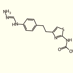 NN=CNc1ccc(CCc2csc(NC(=O)O)n2)cc1